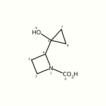 O=C(O)N1CCC1C1(O)CC1